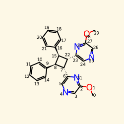 COc1cncc([C@@H]2[C@@H](c3ccccc3)[C@@H](c3ccccc3)[C@@H]2c2cncc(OC)n2)n1